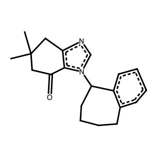 CC1(C)CC(=O)c2c(ncn2C2CCCCc3ccccc32)C1